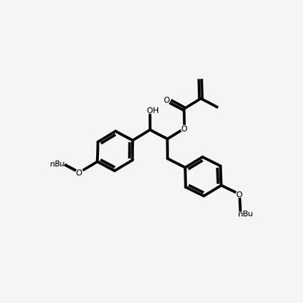 C=C(C)C(=O)OC(Cc1ccc(OCCCC)cc1)C(O)c1ccc(OCCCC)cc1